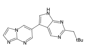 CC(C)(C)Cc1ncc2c(-c3cnc4nccn4c3)c[nH]c2n1